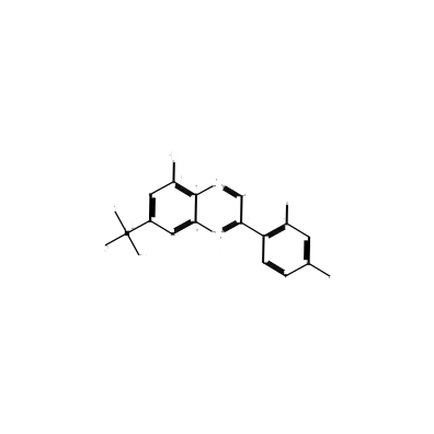 Cc1ccc(-c2cnc3c(Br)cc(C(C)(C)C)cc3n2)c(Cl)c1